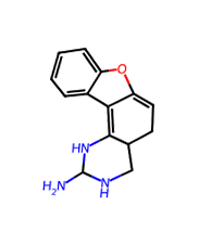 NC1NCC2CC=c3oc4ccccc4c3=C2N1